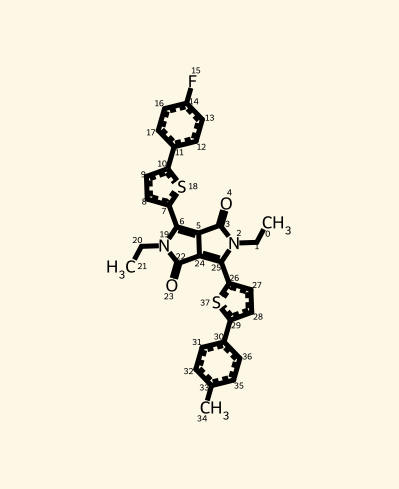 CCN1C(=O)C2=C(c3ccc(-c4ccc(F)cc4)s3)N(CC)C(=O)C2=C1c1ccc(-c2ccc(C)cc2)s1